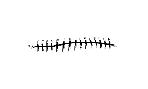 CCC(F)(F)C(F)(F)C(F)(F)C(F)(F)C(F)(F)C(F)(F)C(F)(F)C(F)(F)C(F)(F)C(F)(F)C(F)(F)C(F)(F)C(F)(F)C(F)(F)C(F)(F)C(F)(F)F